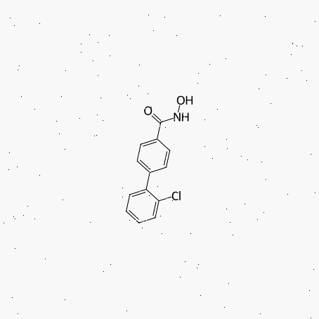 O=C(NO)c1ccc(-c2ccccc2Cl)cc1